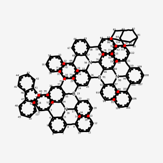 c1ccc(-c2cccc(-c3ccccc3)c2N2c3ccccc3B3c4cc5c(cc4N(c4ccccc4)c4cc(-n6c7ccccc7c7ccccc76)cc2c43)N(c2c(-c3ccccc3)cccc2-c2ccccc2)c2cc(N3C4CC6CC(C4)CC3C6)cc3c2B5c2ccccc2N3c2c(-c3ccccc3)cccc2-c2ccccc2)cc1